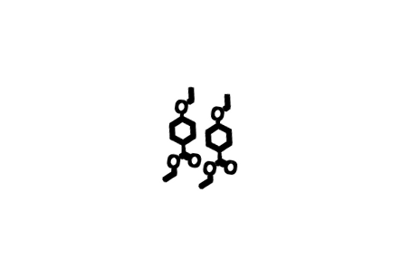 CCOC(=O)[C@H]1CC[C@@H](OCC)CC1.CCOC(=O)[C@H]1CC[C@H](OCC)CC1